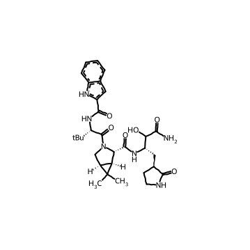 CC(C)(C)[C@H](NC(=O)c1cc2ccccc2[nH]1)C(=O)N1C[C@H]2[C@@H]([C@H]1C(=O)N[C@@H](C[C@@H]1CCNC1=O)C(O)C(N)=O)C2(C)C